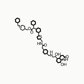 O=C(Cc1ccc(CNC[C@H](O)c2ccc(O)c3[nH]c(=O)ccc23)cc1)NCc1ccc(-c2cccc(C(C(=O)OCC3CCN(Cc4ccccc4)CC3)c3ccccc3)c2)s1